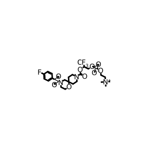 C[N+](C)(C)CCOP(=O)([O-])OCC(OC(=O)N1CCC2(CC1)CN(S(=O)(=O)c1ccc(F)cc1)CCO2)C(F)(F)F